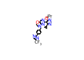 CC(C)Oc1ncnc(C2CC2)c1-c1ncc2c(n1)N(Cc1ccc(-c3nc(C(F)(F)F)cn3C)cc1)CCO2